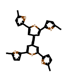 Cc1ccc(C2=CC(=C3C=C(c4ccc(C)s4)SC(c4ccc(C)s4)=C3)C=C(c3ccc(C)s3)S2)s1